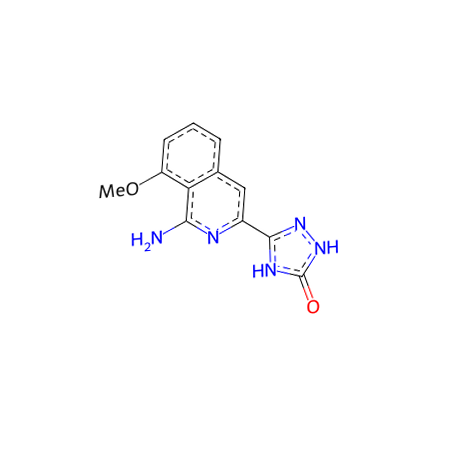 COc1cccc2cc(-c3n[nH]c(=O)[nH]3)nc(N)c12